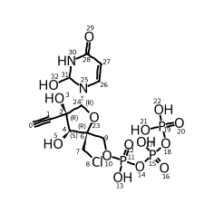 C#C[C@@]1(O)[C@H](O)[C@@](CCl)(COP(=O)(O)OP(=O)(O)OP(=O)(O)O)O[C@H]1N1C=CC(=O)NC1O